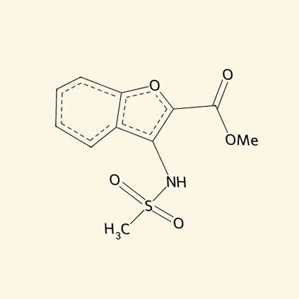 COC(=O)c1oc2ccccc2c1NS(C)(=O)=O